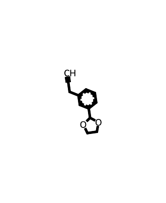 C#CCc1cccc(C2OCCO2)c1